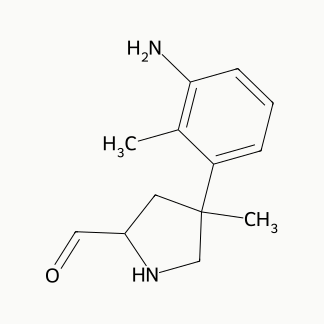 Cc1c(N)cccc1C1(C)CNC(C=O)C1